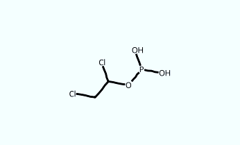 OP(O)OC(Cl)CCl